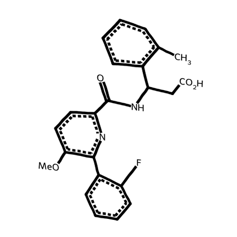 COc1ccc(C(=O)NC(CC(=O)O)c2ccccc2C)nc1-c1ccccc1F